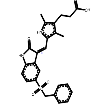 Cc1[nH]c(/C=C2\C(=O)Nc3ccc(S(=O)(=O)Cc4ccccc4)cc32)c(C)c1CCC(=O)O